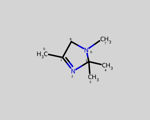 CC1=NC(C)(C)N(C)C1